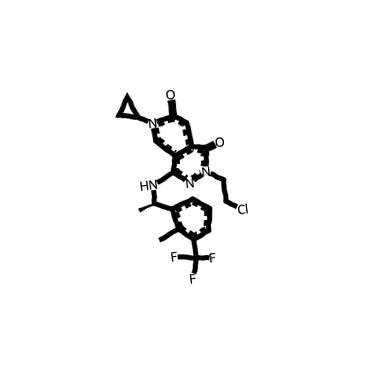 Cc1c([C@@H](C)Nc2nn(CCCl)c(=O)c3cc(=O)n(C4CC4)cc23)cccc1C(F)(F)F